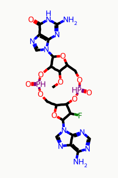 COC1C2CO[PH](=O)OC3C(CO[PH](=O)OC1C(n1cnc4c(=O)[nH]c(N)nc41)O2)OC(n1cnc2c(N)ncnc21)C3F